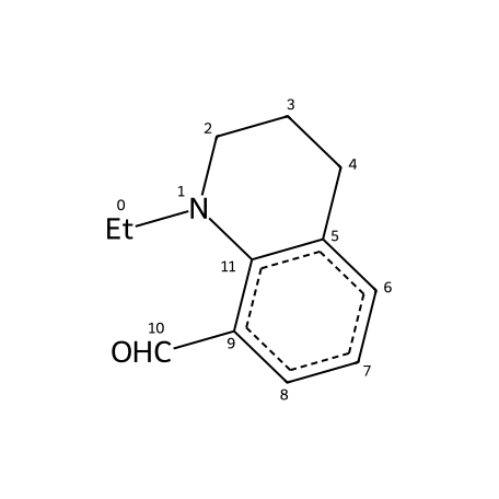 CCN1CCCc2cccc(C=O)c21